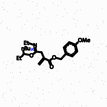 C=C(C/C(=N/CC)OC(CC)CCCC)C(=O)OCc1ccc(OC)cc1